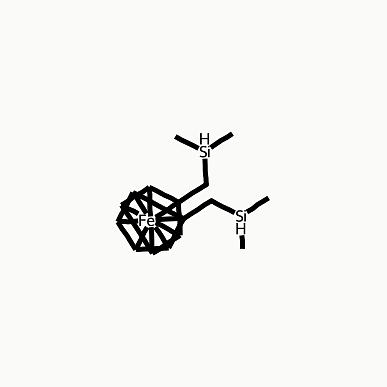 C[SiH](C)C[C]12[CH]3[CH]4[CH]5[CH]1[Fe]45321678[CH]2[CH]1[CH]6[C]7(C[SiH](C)C)[CH]28